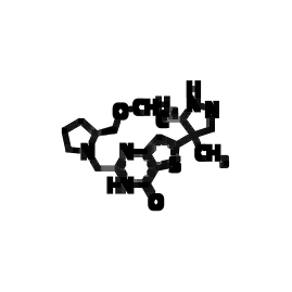 COC[C@@H]1CCCN1Cc1nc2cc(C3(C)C=NNC3C)sc2c(=O)[nH]1